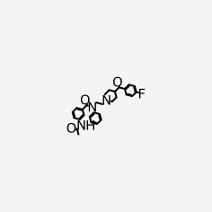 CC(=O)Nc1cccc(C(=O)N(CCN2CCC(C(=O)c3ccc(F)cc3)CC2)c2ccccc2)c1